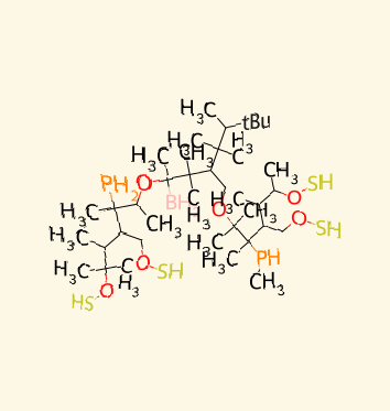 BC(C)(OC(C)C(C)(P)C(COS)C(C)C(C)(C)OS)C(C)(C)C(COC(C)(C)C(C)(PC)C(COS)C(C)C(C)OS)C(C)(C)C(C)C(C)(C)C